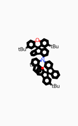 CC(C)(C)c1ccc2c(c1)C1(c3cc(C(C)(C)C)ccc3O2)c2ccccc2-c2c(N(c3ccc4c(c3)C3(c5ccccc5-4)c4cc(C(C)(C)C)ccc4-c4ccc(C(C)(C)C)cc43)c3cccc4ccccc34)cccc21